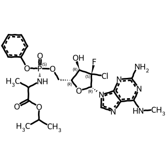 CNc1nc(N)nc2c1ncn2[C@@H]1O[C@H](CO[P@@](=O)(NC(C)C(=O)OC(C)C)Oc2ccccc2)[C@@H](O)[C@]1(F)Cl